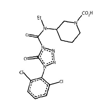 CCN(C(=O)n1nnn(-c2c(Cl)cccc2Cl)c1=O)C1CCCN(C(=O)O)C1